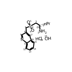 CCC[C@H](N)CS(=O)(=O)Cc1cnc2ccccc2c1.Cl.Cl